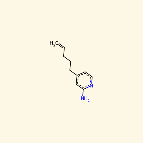 C=CCCCc1ccnc(N)c1